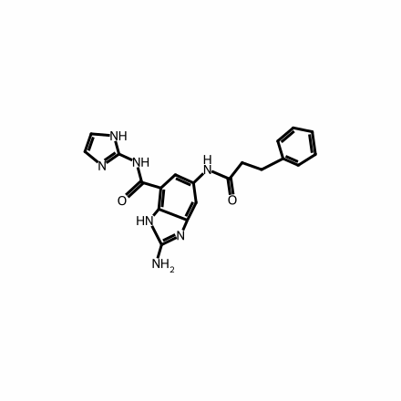 Nc1nc2cc(NC(=O)CCc3ccccc3)cc(C(=O)Nc3ncc[nH]3)c2[nH]1